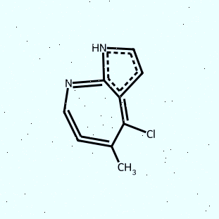 CC1=C=CN=c2[nH]ccc2=C1Cl